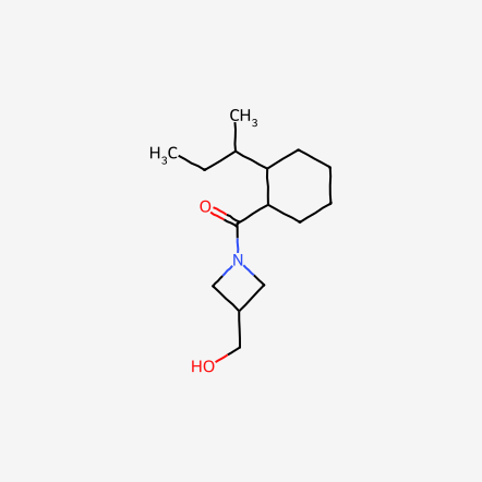 CCC(C)C1CCCCC1C(=O)N1CC(CO)C1